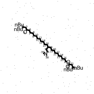 CCCCC(CCCC)CC(=O)CCCCCCCCCCCC(CCCCCCCCCCOC(=O)CC(CCCC)CCCC)CCN(C)C